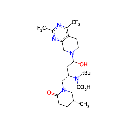 C[C@@H]1CCC(=O)N(C[C@H](CC(O)N2CCc3c(nc(C(F)(F)F)nc3C(F)(F)F)C2)N(C(=O)O)C(C)(C)C)C1